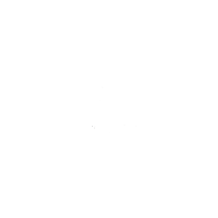 Fc1ccc(OCC2CCCN(C(c3ccc(Cl)cc3)C3CCC3)C2)cc1